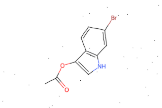 CC(=O)Oc1c[nH]c2cc(Br)ccc12